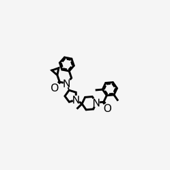 Cc1cccc(C)c1C(=O)N1CCC(C)(N2CC[C@@H](N(Cc3ccccc3)C(=O)C3CC3)C2)CC1